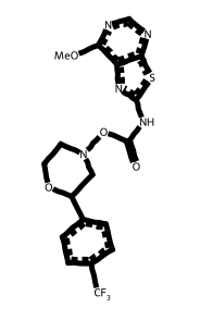 COc1ncnc2sc(NC(=O)ON3CCOC(c4ccc(C(F)(F)F)cc4)C3)nc12